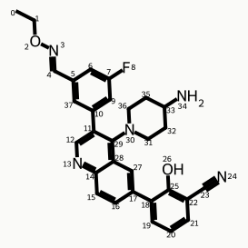 CCON=Cc1cc(F)cc(-c2cnc3ccc(-c4cccc(C#N)c4O)cc3c2N2CCC(N)CC2)c1